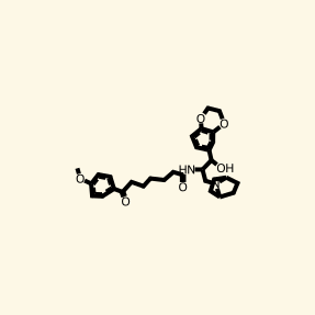 COc1ccc(C(=O)CCCCCC(=O)NC(CN2C3CCC2CC3)C(O)c2ccc3c(c2)OCCO3)cc1